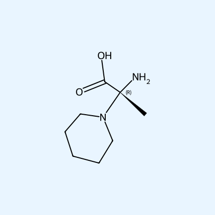 C[C@](N)(C(=O)O)N1CCCCC1